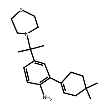 CC1(C)CC=C(c2cc(C(C)(C)N3CCSCC3)ccc2N)CC1